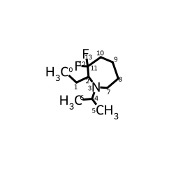 CCC1N(C(C)C)CCCCC1(F)F